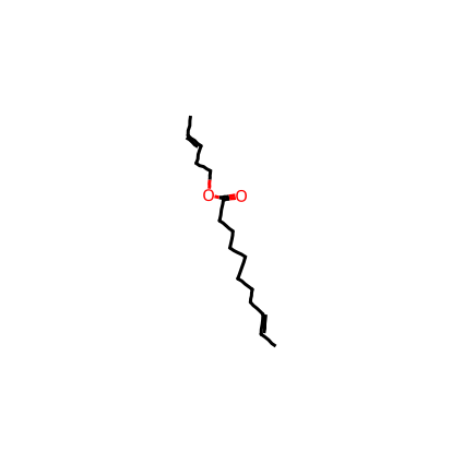 C/C=C/CCCCCCCC(=O)OCC/C=C/C